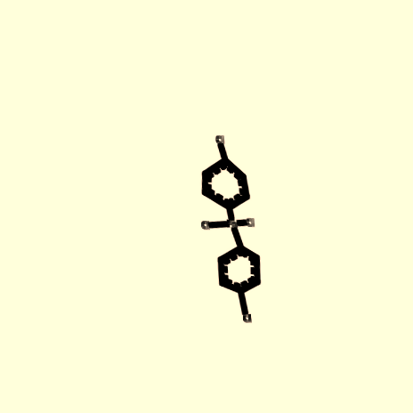 Clc1cc[c]([Pb]([Cl])([Cl])[c]2ccc(Cl)cc2)cc1